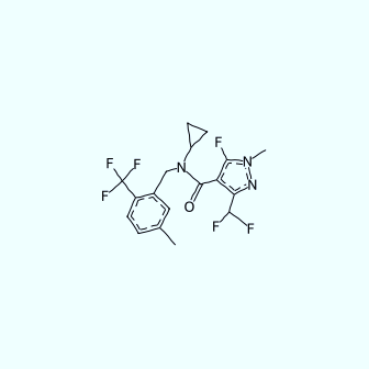 Cc1ccc(C(F)(F)F)c(CN(C(=O)c2c(C(F)F)nn(C)c2F)C2CC2)c1